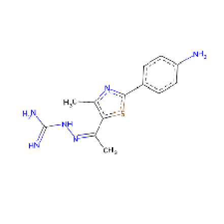 C/C(=N/NC(=N)N)c1sc(-c2ccc(N)cc2)nc1C